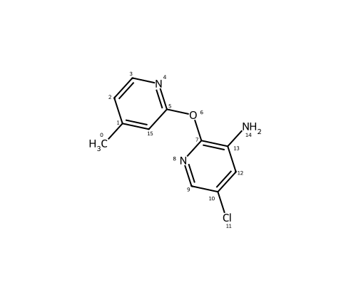 Cc1ccnc(Oc2ncc(Cl)cc2N)c1